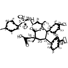 Cc1ccc(S(=O)(=O)NCCC(C)N2C(=O)C(C)(CC(=O)O)CC(c3cccc(Cl)c3)C2c2ccc(Cl)cc2)cc1